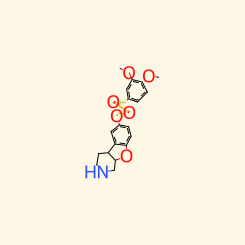 COc1ccc(S(=O)(=O)Oc2ccc3c(c2)C2CCNCC2O3)cc1OC